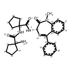 CN1C(=O)[C@@H](NC(=O)C2(NC(=O)C3(N)CCCC3)CCCC2)N=C(c2ccccc2)c2ccccc21